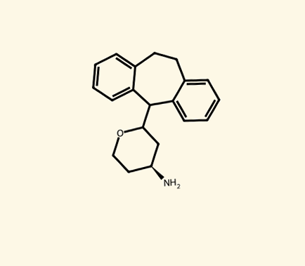 N[C@H]1CCOC(C2c3ccccc3CCc3ccccc32)C1